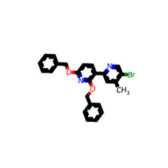 Cc1cc(-c2ccc(OCc3ccccc3)nc2OCc2ccccc2)ncc1Br